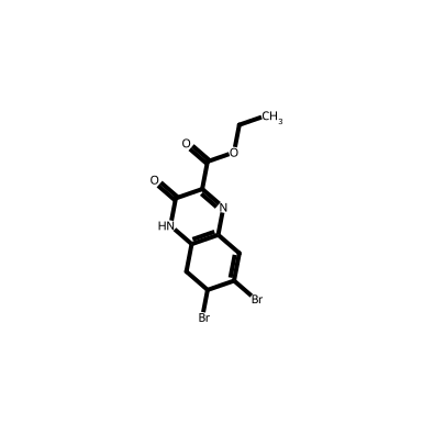 CCOC(=O)c1nc2c([nH]c1=O)CC(Br)C(Br)=C2